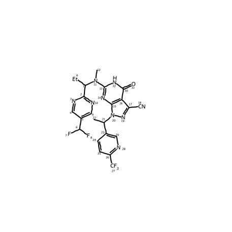 CCC(c1ncc(C(F)F)cn1)N(C)c1nc2c(c(C#N)nn2C(C)c2ccc(C(F)(F)F)nc2)c(=O)[nH]1